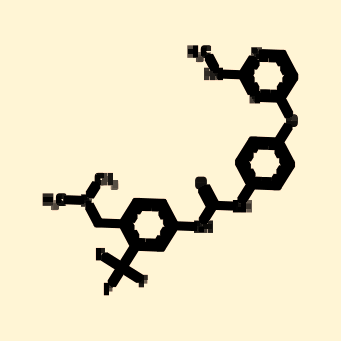 CNc1nccc(Oc2ccc(NC(=O)Nc3ccc(CN(C)C)c(C(F)(F)F)c3)cc2)n1